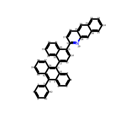 c1ccc(-c2c3ccccc3c(-c3ccc(-c4ccc5cc6ccccc6cc5n4)c4ccccc34)c3ccccc23)cc1